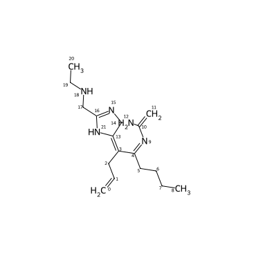 C=CCC(/C(CCCC)=N\C(=C)N)=C1/CN=C(CNCC)N1